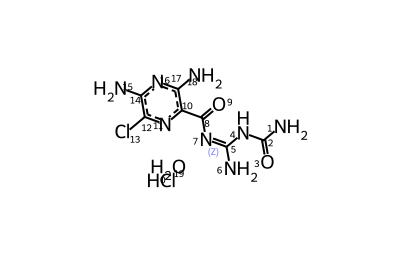 Cl.NC(=O)N/C(N)=N\C(=O)c1nc(Cl)c(N)nc1N.O